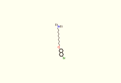 CCN(CC)CCCCCCCCCCOc1ccc2cc(Br)ccc2c1